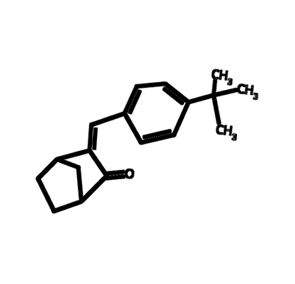 CC(C)(C)c1ccc(C=C2C(=O)C3CCC2C3)cc1